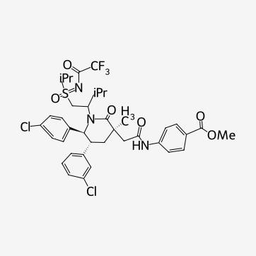 COC(=O)c1ccc(NC(=O)C[C@@]2(C)C[C@H](c3cccc(Cl)c3)[C@@H](c3ccc(Cl)cc3)N(C(CS(=O)(=NC(=O)C(F)(F)F)C(C)C)C(C)C)C2=O)cc1